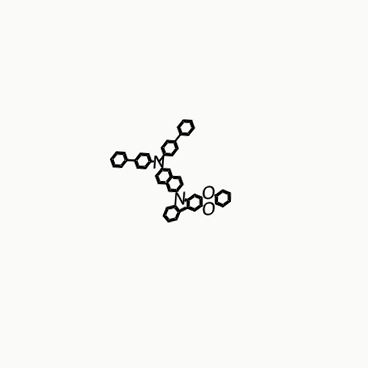 c1ccc(-c2ccc(N(c3ccc(-c4ccccc4)cc3)c3ccc4cc(-n5c6ccccc6c6cc7c(cc65)Oc5ccccc5O7)ccc4c3)cc2)cc1